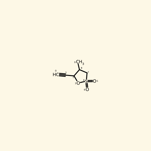 C#CC1OS(=O)(=O)CC1C